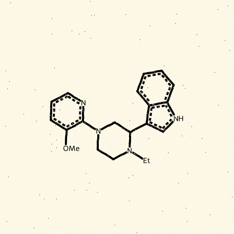 CCN1CCN(c2ncccc2OC)CC1c1c[nH]c2ccccc12